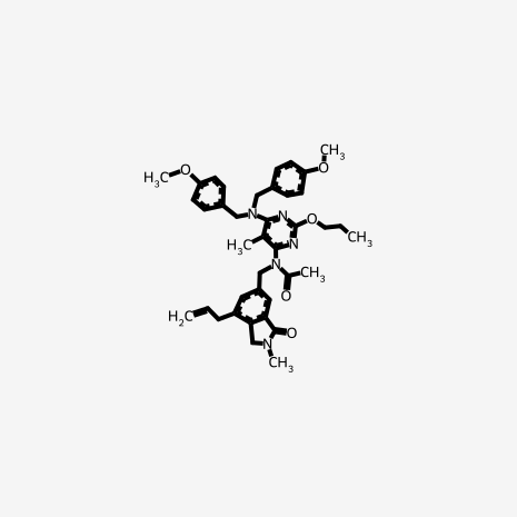 C=CCc1cc(CN(C(C)=O)c2nc(OCCC)nc(N(Cc3ccc(OC)cc3)Cc3ccc(OC)cc3)c2C)cc2c1CN(C)C2=O